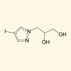 OCC(O)Cn1cc(I)cn1